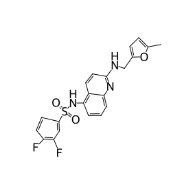 Cc1ccc(CNc2ccc3c(NS(=O)(=O)c4ccc(F)c(F)c4)cccc3n2)o1